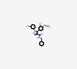 COc1ccc(-c2c(C(=O)NCc3ccccc3)cnn2-c2cccc(Cl)c2)cc1Cl